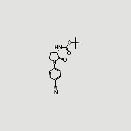 CC(C)(C)OC(=O)N[C@H]1CCN(c2ccc(C#N)cc2)C1=O